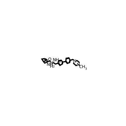 CN1CCN(Cc2ccc(-c3ccc(C[C@@H](N)NC(=O)C4(N)CC5CC(C5)C4)cc3)cc2)CC1